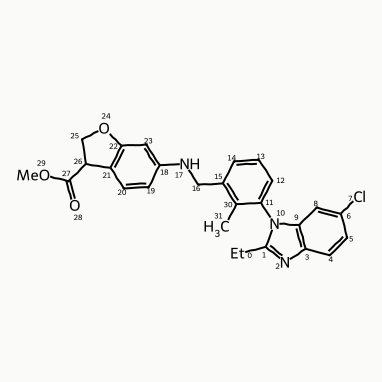 CCc1nc2ccc(Cl)cc2n1-c1cccc(CNc2ccc3c(c2)OCC3C(=O)OC)c1C